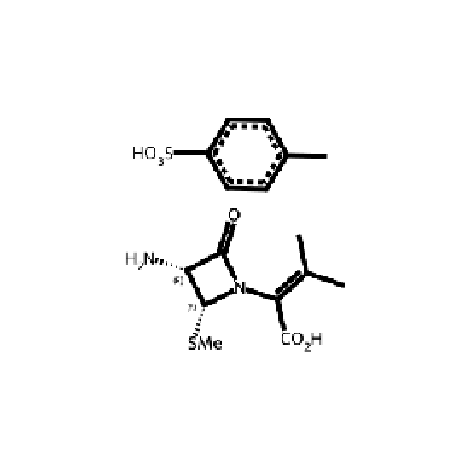 CS[C@@H]1[C@H](N)C(=O)N1C(C(=O)O)=C(C)C.Cc1ccc(S(=O)(=O)O)cc1